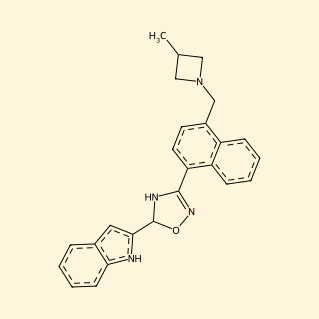 CC1CN(Cc2ccc(C3=NOC(c4cc5ccccc5[nH]4)N3)c3ccccc23)C1